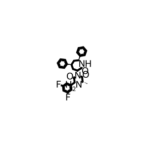 C[C@H](N)C(=O)N(C(=O)Cc1cc(F)cc(F)c1)[C@H]1C[C@@H](c2ccccc2)C[C@@H](c2ccccc2)NC1=O